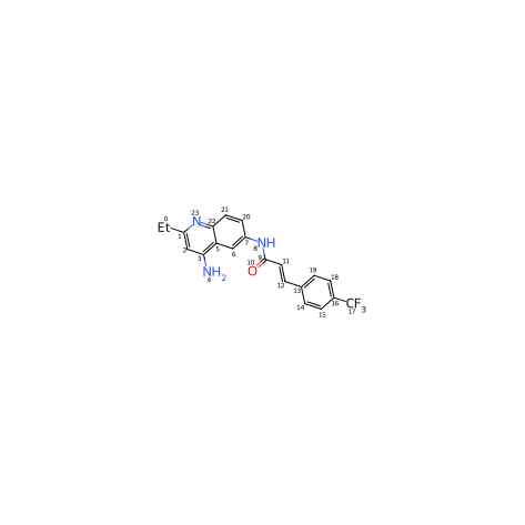 CCc1cc(N)c2cc(NC(=O)/C=C/c3ccc(C(F)(F)F)cc3)ccc2n1